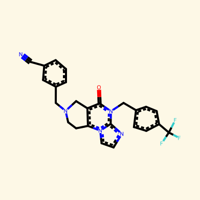 N#Cc1cccc(CN2CCc3c(c(=O)n(Cc4ccc(C(F)(F)F)cc4)c4nccn34)C2)c1